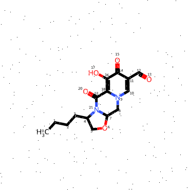 CCCCC1COC2Cn3cc(C=O)c(=O)c(O)c3C(=O)N12